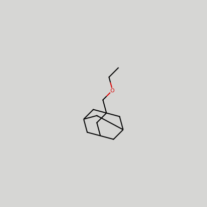 CCOCC12CC3CC(CC(C3)C1)C2